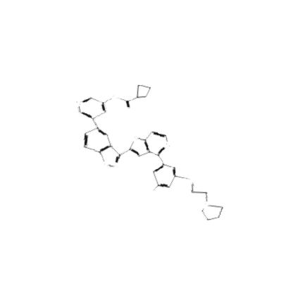 O=C(Nc1cncc(-c2ccc3[nH]nc(-c4cc5c(-c6cc(F)cc(OCCN7CCCC7)c6)nccc5[nH]4)c3c2)c1)C1CCC1